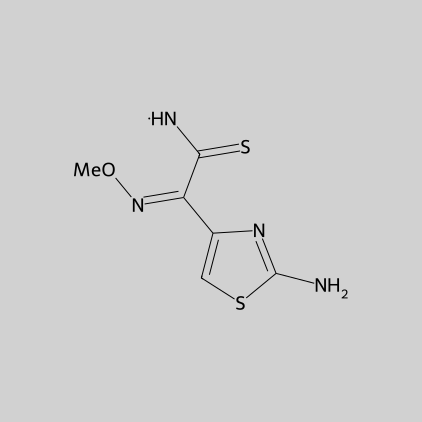 CON=C(C([NH])=S)c1csc(N)n1